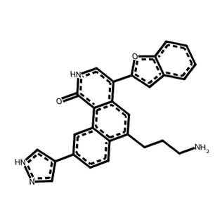 NCCCc1cc2c(-c3cc4ccccc4o3)c[nH]c(=O)c2c2cc(-c3cn[nH]c3)ccc12